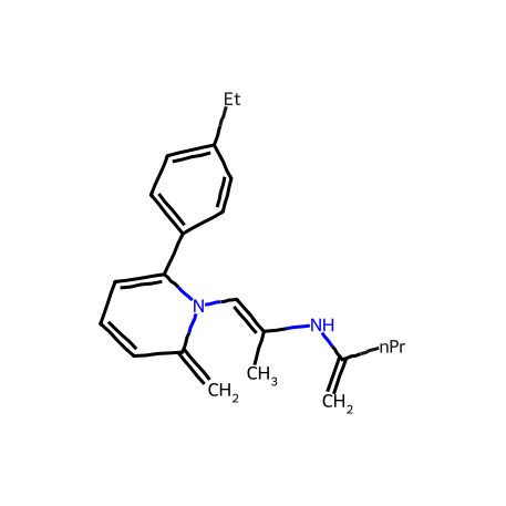 C=C(CCC)N/C(C)=C/N1C(=C)C=CC=C1c1ccc(CC)cc1